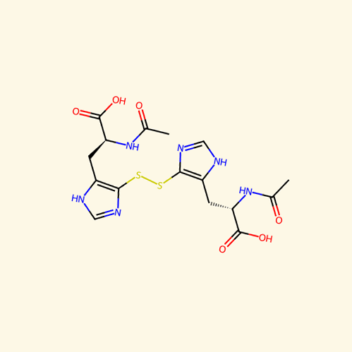 CC(=O)N[C@@H](Cc1[nH]cnc1SSc1nc[nH]c1C[C@H](NC(C)=O)C(=O)O)C(=O)O